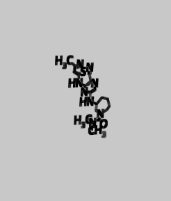 Cc1cc(Nc2nc(NC3CCCCN(C(=O)N(C)C)C3)cnc2C#N)sn1